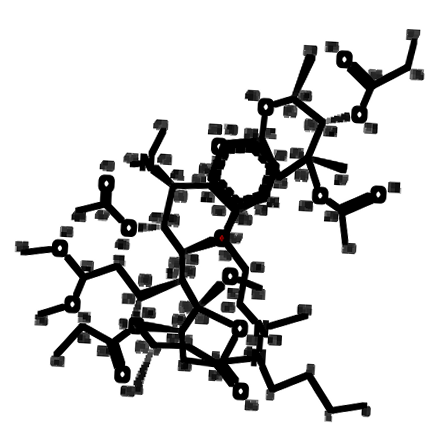 CCCCN(CC[C@H](C)C[C@H](CC(OC)OC)[C@@H]([C@@H]1O[C@H](C)[C@@H](O[C@@H]2C[C@@](C)(OC(C)=O)[C@@H](OC(=O)CC)[C@H](C)O2)[C@H](N(C)C)[C@H]1OC(C)=O)[C@]1(OC)OC(=O)C[C@H]1OC(=O)CC)N(C)CCCc1ccccc1